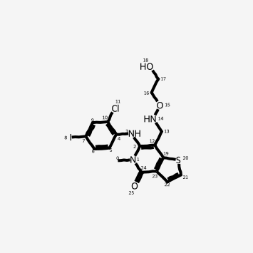 Cn1c(Nc2ccc(I)cc2Cl)c(CNOCCO)c2sccc2c1=O